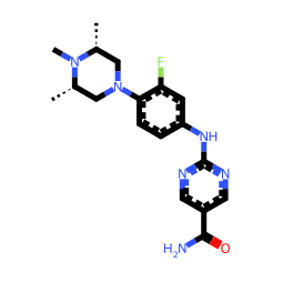 C[C@@H]1CN(c2ccc(Nc3ncc(C(N)=O)cn3)cc2F)C[C@H](C)N1C